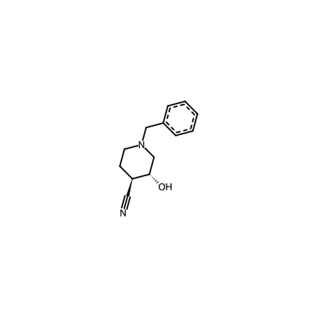 N#C[C@H]1CCN(Cc2ccccc2)C[C@@H]1O